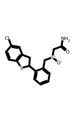 NC(=O)C[S+]([O-])Cc1ccccc1C1Cc2cc(Cl)ccc2S1